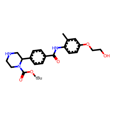 Cc1cc(OCCO)ccc1NC(=O)c1ccc(C2CNCCN2C(=O)OC(C)(C)C)cc1